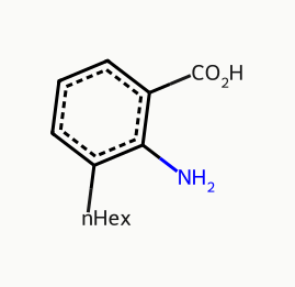 CCCCCCc1cccc(C(=O)O)c1N